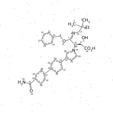 CCC(C)(C)[C@H](O)N=C(OCc1ccccc1)[C@@H](CC(=O)O)n1ccc(-c2ccc(-c3ccc(C(N)=O)cc3)cc2)c1